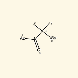 CCC(C)C(C)(C)C(=O)C(C)=O